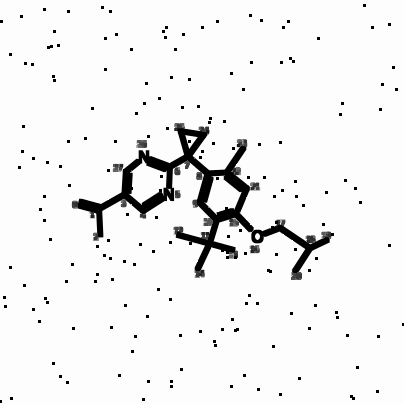 C=C(C)c1cnc(C2(c3cc(C(C)(C)C)c(OCC(C)C)cc3C)CC2)nc1